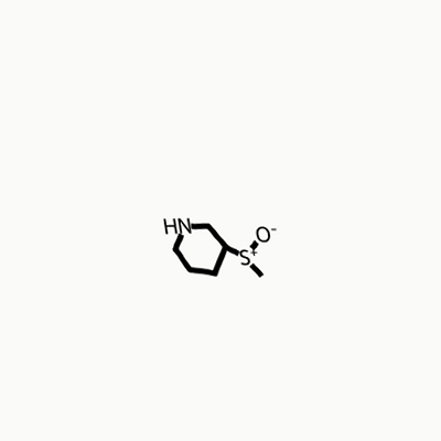 C[S+]([O-])C1CCCNC1